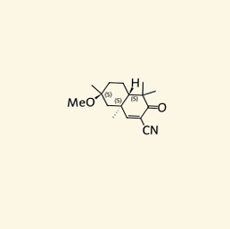 CO[C@@]1(C)CC[C@@H]2C(C)(C)C(=O)C(C#N)=C[C@@]2(C)C1